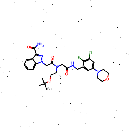 C[C@H](CO[Si](C)(C)C(C)(C)C)N(CC(=O)NCc1cc(N2CCOCC2)cc(Cl)c1F)C(=O)Cn1nc(C(N)=O)c2ccccc21